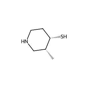 C[C@@H]1CNCC[C@@H]1S